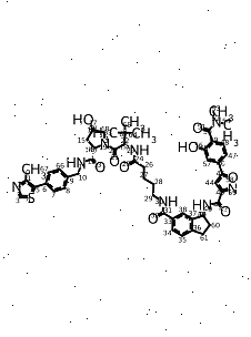 Cc1ncsc1-c1ccc(CNC(=O)[C@@H]2C[C@@H](O)CN2C(=O)[C@@H](NC(=O)CCCCNC(=O)c2ccc3c(c2)[C@H](NC(=O)c2cc(-c4ccc(C(=O)N(C)C)c(O)c4)on2)CC3)C(C)(C)C)cc1